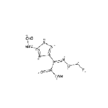 COC(=O)C(=NOCF)c1nsc(NC=O)n1